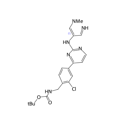 CN/C=C(\C=N)Nc1nccc(-c2ccc(CNC(=O)OC(C)(C)C)c(Cl)c2)n1